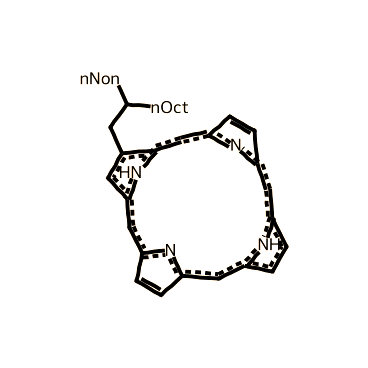 CCCCCCCCCC(CCCCCCCC)Cc1cc2cc3nc(cc4ccc(cc5nc(cc1[nH]2)C=C5)[nH]4)C=C3